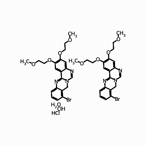 COCCOc1cc2c(cc1OCCOC)C1=Nc3cccc(Br)c3CN1C=N2.COCCOc1cc2c(cc1OCCOC)C1=Nc3cccc(Br)c3CN1C=N2.Cl.Cl.O